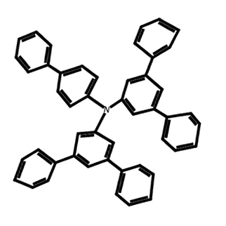 c1ccc(-c2ccc(N(c3cc(-c4ccccc4)cc(-c4ccccc4)c3)c3cc(-c4ccccc4)cc(-c4ccccc4)c3)cc2)cc1